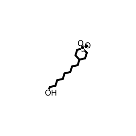 O=S1(=O)CCC(CCCCCCCCO)CC1